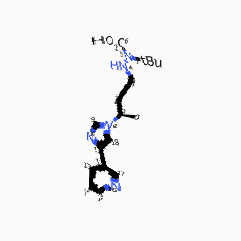 C[C@H](CCNN(C(=O)O)C(C)(C)C)n1cnc(-c2cccnc2)c1